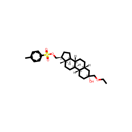 CCOC[C@@]1(O)CC[C@H]2[C@H](CC[C@@H]3[C@@H]2CC[C@]2(C)[C@@H](COS(=O)(=O)c4ccc(C)cc4)CC[C@@H]32)C1